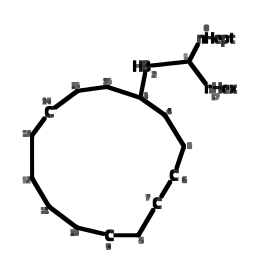 CCCCCCCC(BC1CCCCCCCCCCCCC1)CCCCCC